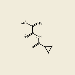 C=C(NC)C(=N)NC(=O)C1CC1